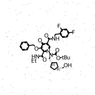 CCNC(=O)c1c(OCc2ccccc2)c(=O)c(C(=O)NCc2ccc(F)cc2F)cn1N(C[C@H]1CC[C@@H](CO)C1)C(=O)OC(C)(C)C